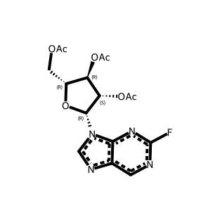 CC(=O)OC[C@H]1O[C@@H](n2cnc3cnc(F)nc32)[C@@H](OC(C)=O)[C@@H]1OC(C)=O